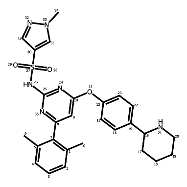 Cc1cccc(C)c1-c1cc(Oc2ccc(C3CCCCN3)cc2)nc(NS(=O)(=O)c2cnn(C)c2)n1